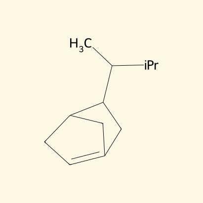 CC(C)C(C)C1CC2=CCC1C2